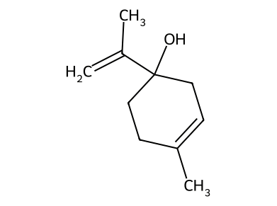 C=C(C)C1(O)CC=C(C)CC1